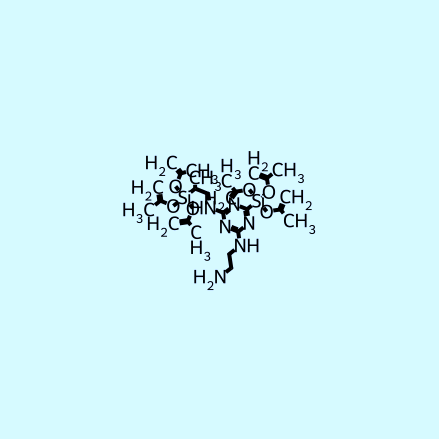 C=C(C)O[Si](OC(=C)C)(OC(=C)C)c1nc(NCCN)nc(NCC(C)[Si](OC(=C)C)(OC(=C)C)OC(=C)C)n1